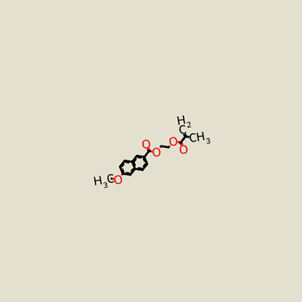 C=C(C)C(=O)OCCOC(=O)c1ccc2cc(OC)ccc2c1